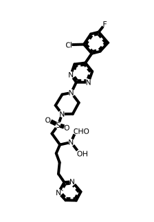 O=CN(O)C(CCCc1ncccn1)CS(=O)(=O)N1CCN(c2ncc(-c3ccc(F)cc3Cl)cn2)CC1